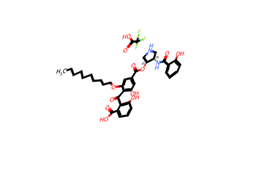 CCCCCCCCCCOc1cc(C(=O)O[C@H]2CNC[C@@H]2NC(=O)c2ccccc2O)cc(O)c1C(=O)c1c(O)cccc1C(=O)O.O=C(O)C(F)(F)F